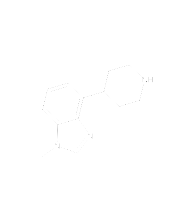 Cn1cnc2c(C3CCNCC3)cccc21